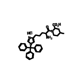 CC1CCN(C(=O)C(N)CCCc2cn(C(c3ccccc3)(c3ccccc3)c3ccccc3)cn2)C(C(=O)O)C1.Cl